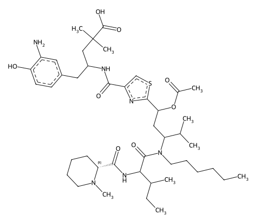 CCCCCCN(C(=O)C(NC(=O)[C@H]1CCCCN1C)C(C)CC)C(CC(OC(C)=O)c1nc(C(=O)NC(Cc2ccc(O)c(N)c2)CC(C)(C)C(=O)O)cs1)C(C)C